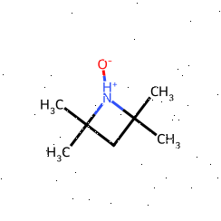 CC1(C)CC(C)(C)[NH+]1[O-]